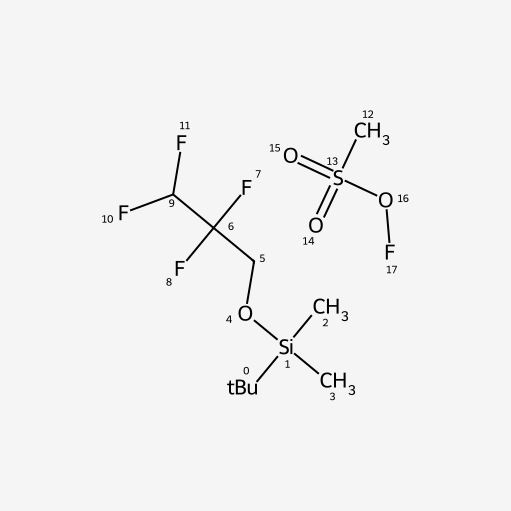 CC(C)(C)[Si](C)(C)OCC(F)(F)C(F)F.CS(=O)(=O)OF